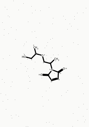 CC(CO)OCC(C)N1C(=O)C=CC1=O